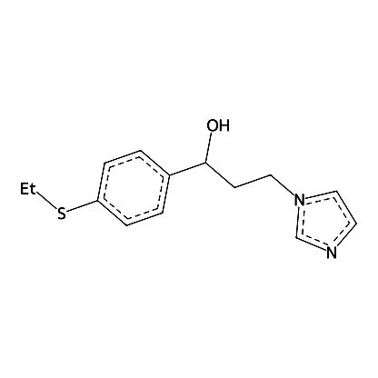 CCSc1ccc(C(O)CCn2ccnc2)cc1